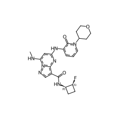 CNc1cc(Nc2cccn(C3CCOCC3)c2=O)nc2c(C(=O)N[C@@H]3CC[C@@H]3F)cnn12